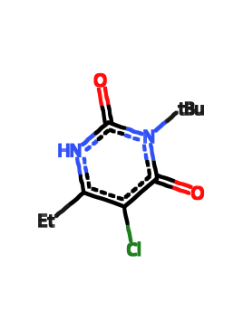 CCc1[nH]c(=O)n(C(C)(C)C)c(=O)c1Cl